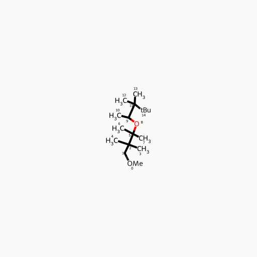 COCC(C)(C)C(C)(C)OC(C)C(C)(C)C(C)(C)C